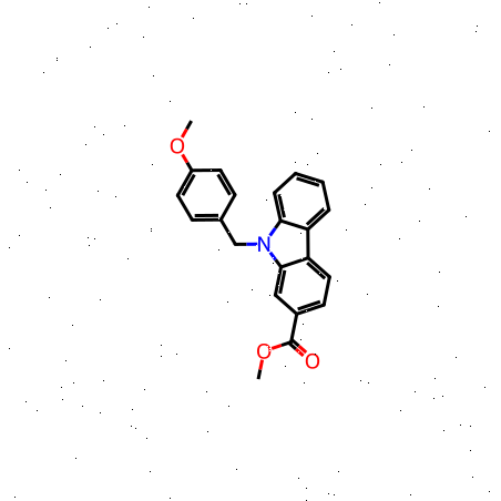 COC(=O)c1ccc2c3ccccc3n(Cc3ccc(OC)cc3)c2c1